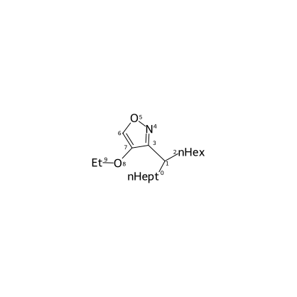 CCCCCCCC(CCCCCC)c1nocc1OCC